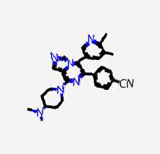 Cc1cc(-c2c(-c3ccc(C#N)cc3)nc(N3CCC(N(C)C)CC3)c3cncn23)cnc1C